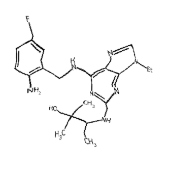 CCn1cnc2c(NCc3cc(F)ccc3N)nc(NC(C)C(C)(C)O)nc21